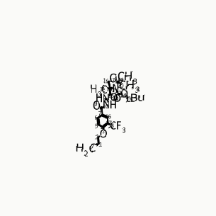 C=CCOc1ccc(C(=O)NNC(=O)C2(C)COC(C)(C)N2C(=O)OC(C)(C)C)cc1C(F)(F)F